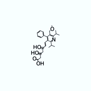 COCc1c(C(C)C)nc(C(C)C)c(C=C[C@@H](O)C[C@@H](O)CC(=O)O)c1-c1ccccc1